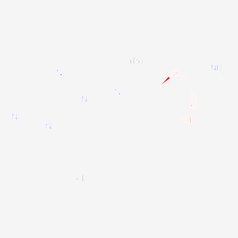 CC(C)(C)C1[C@@H](OC(N)=O)[C@H](O)CCN1c1ccnc(-c2cnc3ccc(Cl)cn23)n1